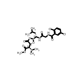 COC(=O)[C@@H]([C@H]1OB([C@H](CC(C)C)NC(=O)CNC(=O)c2cc(Cl)ccc2Cl)OC1=O)N(C)C